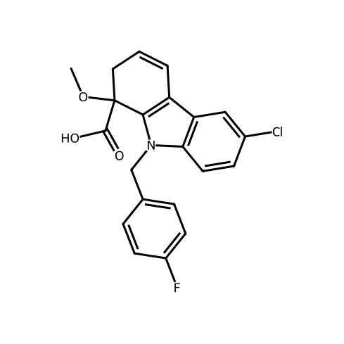 COC1(C(=O)O)CC=Cc2c1n(Cc1ccc(F)cc1)c1ccc(Cl)cc21